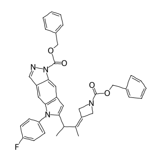 CC(=C1CN(C(=O)OCc2ccccc2)C1)C(C)c1cc2cc3c(cnn3C(=O)OCc3ccccc3)cc2n1-c1ccc(F)cc1